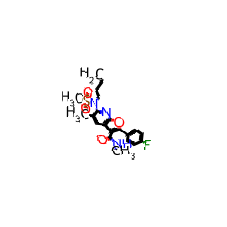 C=CCCN(c1nc2oc(-c3ccc(F)cc3)c(C(=O)NC)c2cc1C)S(C)(=O)=O